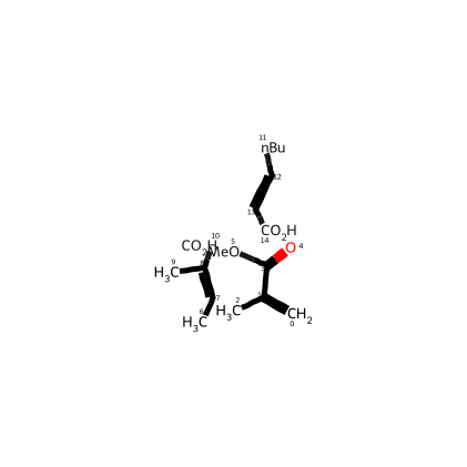 C=C(C)C(=O)OC.CC=C(C)C(=O)O.CCCCC=CC(=O)O